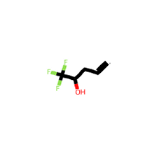 [CH]=CCC(O)C(F)(F)F